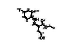 CCOC(=O)C(C=NO)=NNc1ccc(F)cc1F